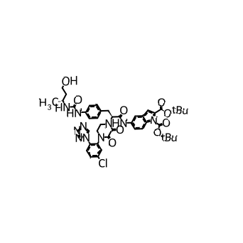 C[C@H](CCO)NC(=O)Nc1ccc(C[C@@H](C(=O)Nc2ccc3c(c2)cc(C(=O)OC(C)(C)C)n3C(=O)OC(C)(C)C)N2CCN(c3cc(Cl)ccc3-n3cnnn3)C(=O)C2=O)cc1